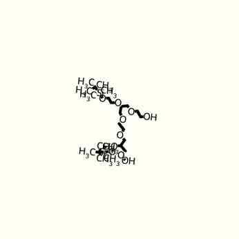 CC(C)(C)[Si](C)(C)OCCOC(COCCO)COCCOCC(COO)OO[Si](C)(C)C(C)(C)C